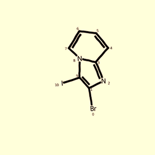 Brc1nc2ccccn2c1I